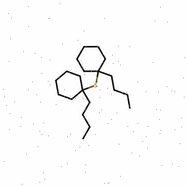 CCCCC1(SC2(CCCC)CCCCC2)CCCCC1